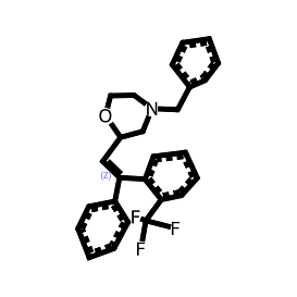 FC(F)(F)c1ccccc1/C(=C\C1CN(Cc2ccccc2)CCO1)c1ccccc1